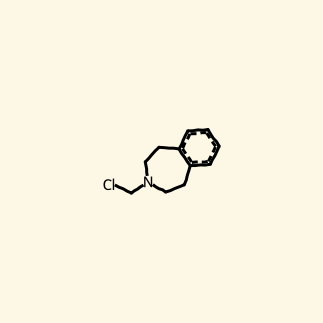 ClCN1CCc2ccccc2CC1